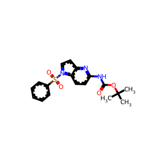 CC(C)(C)OC(=O)Nc1ccc2c(ccn2S(=O)(=O)c2ccccc2)n1